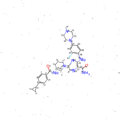 C[C@@H]1[C@H](NC(=O)c2ccc(C3CC3)cc2)CCCN1c1cnc(C(N)=O)c(Nc2ccc(N3CCN(C)CC3)cc2F)n1